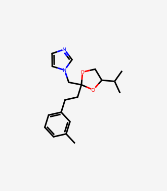 Cc1cccc(CCC2(Cn3ccnc3)OCC(C(C)C)O2)c1